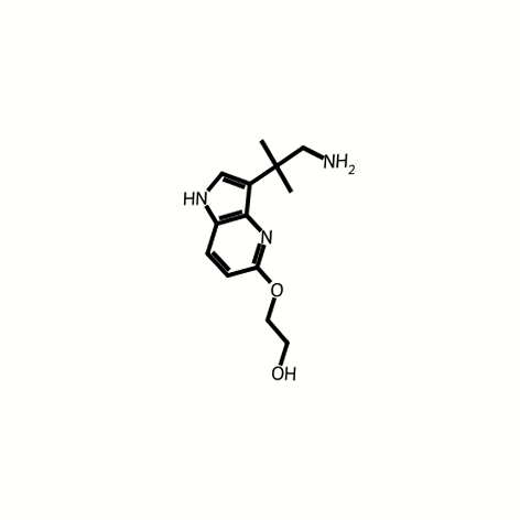 CC(C)(CN)c1c[nH]c2ccc(OCCO)nc12